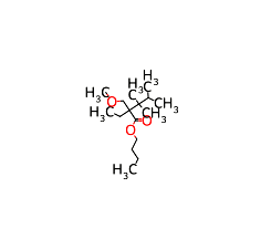 CCCCOC(=O)C(CC)(COC)C(C)(C)C(C)C